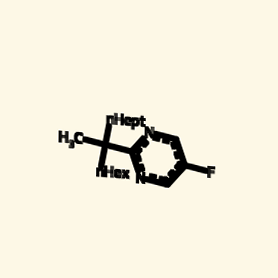 CCCCCCCC(C)(CCCCCC)c1ncc(F)cn1